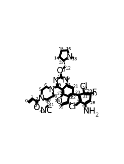 C=CC(=O)N1CCN(c2nc(OC[C@@H]3CCCN3C)nc3cc(-c4c(Cl)c(N)cc(F)c4Cl)c4ccoc4c23)C[C@@H]1CC#N